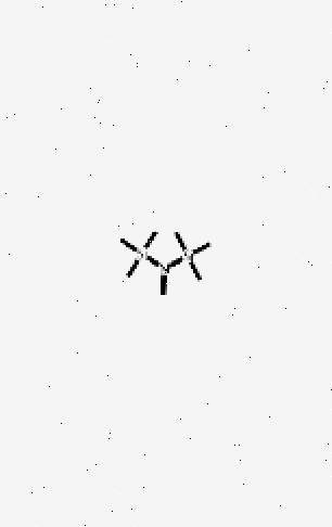 CN([Si](C)(C)C)[Si](C)(C)C